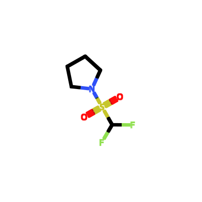 O=S(=O)(C(F)F)N1CCCC1